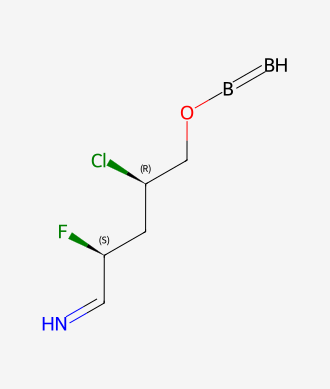 B=BOC[C@H](Cl)C[C@H](F)C=N